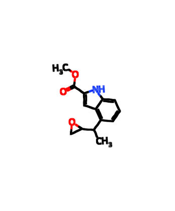 COC(=O)c1cc2c(C(C)C3CO3)cccc2[nH]1